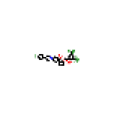 O=C(OC[C@@H](O)c1cc(C(F)(F)F)cc(C(F)(F)F)c1)C1(c2ccccc2)CCC(N2CCC(c3ccc(F)cc3)CC2)CC1